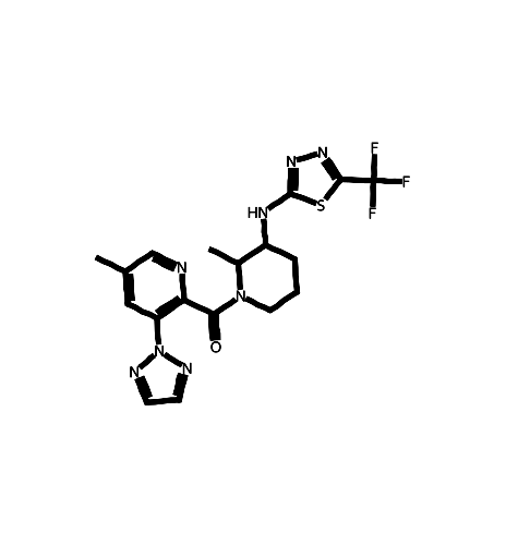 Cc1cnc(C(=O)N2CCCC(Nc3nnc(C(F)(F)F)s3)C2C)c(-n2nccn2)c1